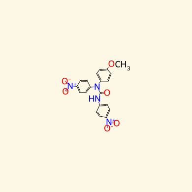 COc1ccc(N(C(=O)Nc2ccc([N+](=O)[O-])cc2)c2ccc([N+](=O)[O-])cc2)cc1